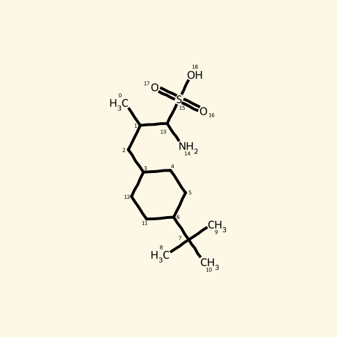 CC(CC1CCC(C(C)(C)C)CC1)C(N)S(=O)(=O)O